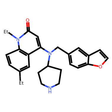 CCc1ccc2c(c1)c(N(Cc1ccc3occc3c1)C1CCNCC1)cc(=O)n2CC